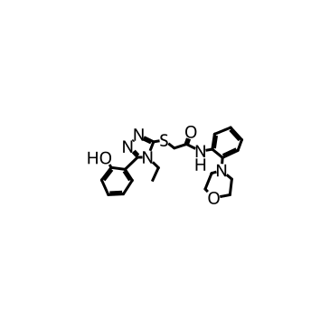 CCn1c(SCC(=O)Nc2ccccc2N2CCOCC2)nnc1-c1ccccc1O